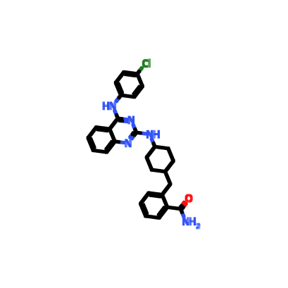 NC(=O)c1ccccc1CC1CCC(Nc2nc(Nc3ccc(Cl)cc3)c3ccccc3n2)CC1